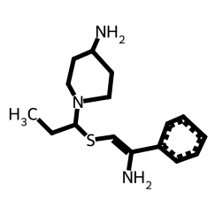 CCC(S/C=C(\N)c1ccccc1)N1CCC(N)CC1